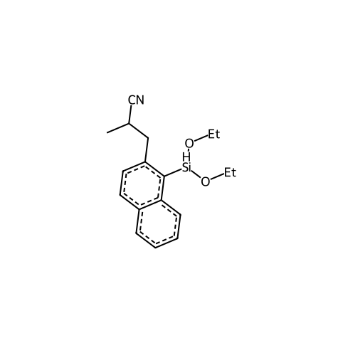 CCO[SiH](OCC)c1c(CC(C)C#N)ccc2ccccc12